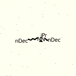 CCCCCCCCCCCCCCCN1C=CN(CCCCCCCCCCCC)C1C(C)C